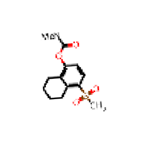 CNC(=O)Oc1ccc(S(C)(=O)=O)c2c1CCCC2